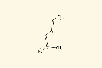 CC=CC=C(C)C#N